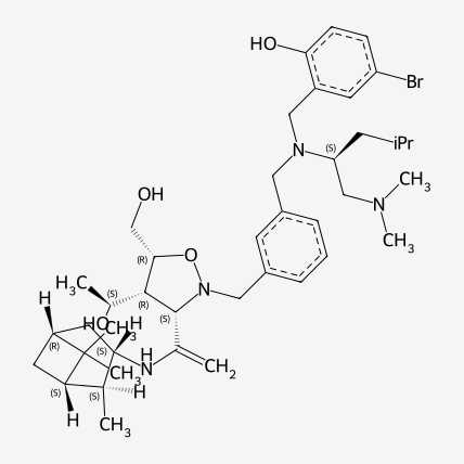 C=C(N[C@H]1C[C@H]2C[C@@H]([C@@H]1C)C2(C)C)[C@@H]1[C@H]([C@H](C)O)[C@H](CO)ON1Cc1cccc(CN(Cc2cc(Br)ccc2O)[C@@H](CC(C)C)CN(C)C)c1